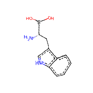 N[C@@H](Cc1c[nH]c2ccccc12)B(O)O